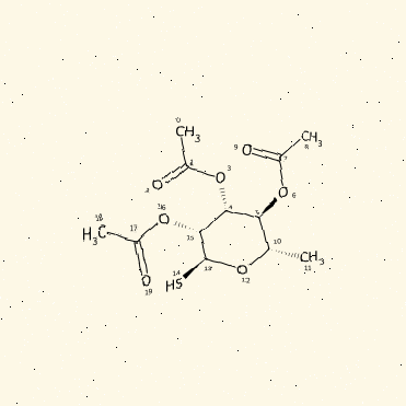 CC(=O)O[C@@H]1[C@@H](OC(C)=O)[C@H](C)O[C@@H](S)[C@@H]1OC(C)=O